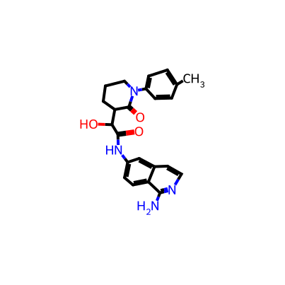 Cc1ccc(N2CCCC(C(O)C(=O)Nc3ccc4c(N)nccc4c3)C2=O)cc1